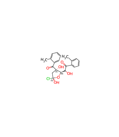 Cc1ccccc1C(=O)C(O)[C@H]1O[C@](O)(Cl)C[C@@]1(O)C(=O)c1ccccc1C